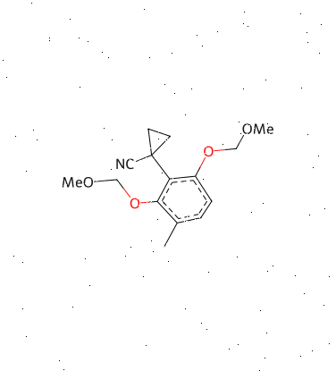 COCOc1ccc(C)c(OCOC)c1C1(C#N)CC1